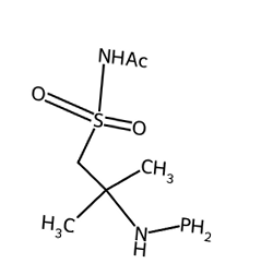 CC(=O)NS(=O)(=O)CC(C)(C)NP